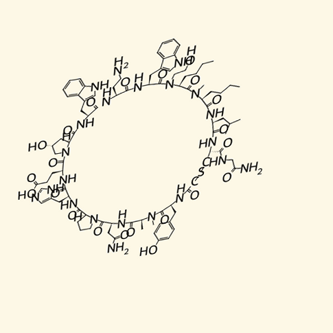 CCCC[C@H]1C(=O)N[C@@H](CC(C)C)C(=O)N[C@H](C(=O)NCC(N)=O)CSCC(=O)N[C@@H](Cc2ccc(O)cc2)C(=O)N(C)[C@@H](C)C(=O)N[C@@H](CC(N)=O)C(=O)N2CCC[C@H]2C(=O)N[C@@H](Cc2cnc[nH]2)C(=O)N[C@@H](CCC(=O)O)C(=O)N2C[C@H](O)C[C@H]2C(=O)N[C@@H](Cc2c[nH]c3ccccc23)C(=O)N[C@@H](CCN)C(=O)N[C@@H](Cc2c[nH]c3ccccc23)C(=O)N(CCO)[C@@H](CCCC)C(=O)N1C